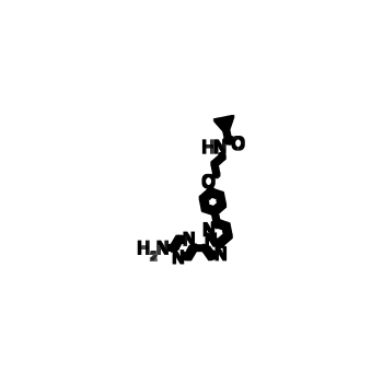 Nc1cnc(-c2cnc3ccc(-c4ccc(OCCCNC(=O)C5CC5)cc4)nn23)cn1